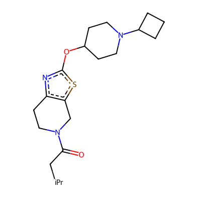 CC(C)CC(=O)N1CCc2nc(OC3CCN(C4CCC4)CC3)sc2C1